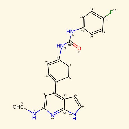 O=CNc1cc(-c2ccc(NC(=O)Nc3ccc(F)cc3)cc2)c2cc[nH]c2n1